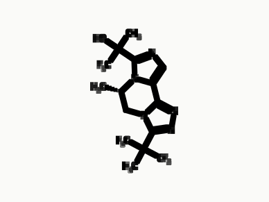 C[C@H]1Cn2c(nnc2C(C)(C(F)(F)F)C(F)(F)F)-c2cnc(C(C)(O)C(F)(F)F)n21